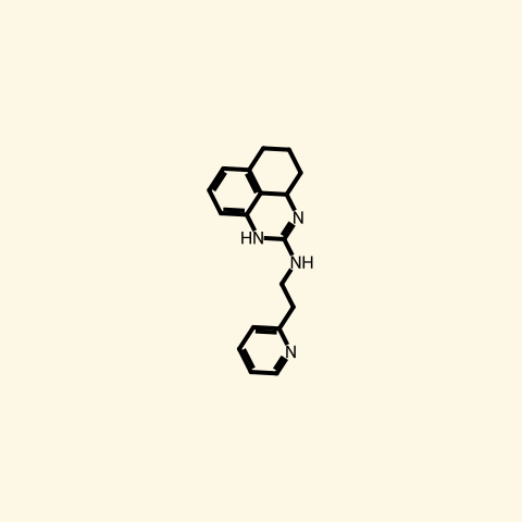 c1ccc(CCNC2=NC3CCCc4cccc(c43)N2)nc1